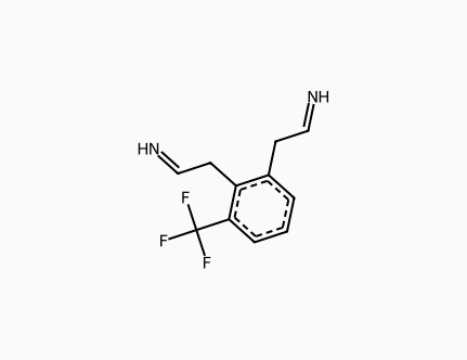 N=CCc1cccc(C(F)(F)F)c1CC=N